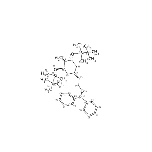 C=C1[C@H](O[Si](C)(C)C(C)(C)C)CC(=CCOP(c2ccccc2)c2ccccc2)C[C@H]1O[Si](C)(C)C(C)(C)C